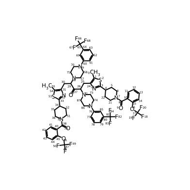 Cc1sc(C2CCN(C(=O)c3ccccc3OC(F)(F)F)CC2)nc1CC(C(=O)C(Cc1nc(C2CCN(C(=O)c3ccccc3OC(F)(F)F)CC2)sc1C)N1CCN(c2cccc(C(F)(F)F)c2)CC1)N1CCN(c2cccc(C(F)(F)F)c2)CC1